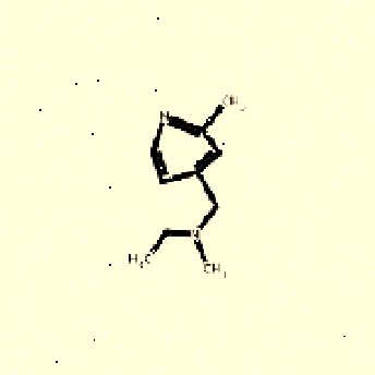 CCN(C)Cc1ccnc(C)c1